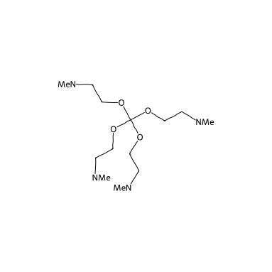 CNCCOC(OCCNC)(OCCNC)OCCNC